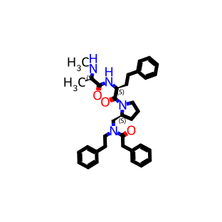 CN[C@@H](C)C(=O)N[C@@H](CCc1ccccc1)C(=O)N1CCC[C@H]1CN(CCc1ccccc1)C(=O)Cc1ccccc1